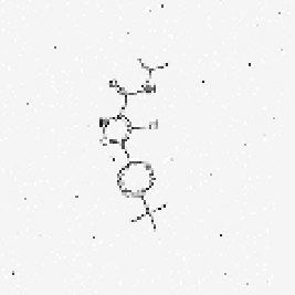 CC(C)NC(=O)c1noc(-c2ccc(C(C)(C)C)cc2)c1Cl